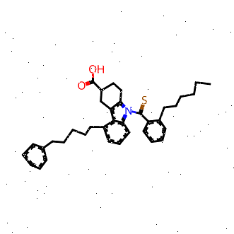 CCCCCCc1ccccc1C(=S)n1c2c(c3c(CCCCCc4ccccc4)cccc31)CC(C(=O)O)CC2